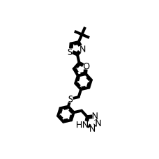 CC(C)(C)c1csc(-c2cc3cc(CSc4ccccc4Cc4nnn[nH]4)ccc3o2)n1